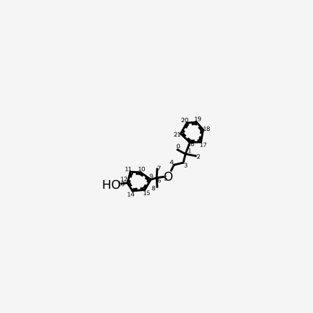 CC(C)(CCOC(C)(C)c1ccc(O)cc1)c1ccccc1